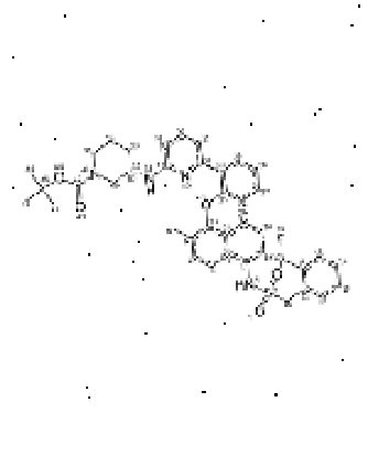 Cc1ccc2c(NS(=O)(=O)Cc3ccccc3CF)cccc2c1Oc1ncccc1-c1ccnc(N[C@H]2CCCN(C(=O)OC(C)(C)C)C2)n1